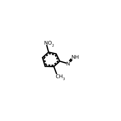 Cc1ccc([N+](=O)[O-])cc1N=N